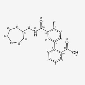 Cc1ccc(-c2ccccc2C(=O)O)cc1C(=O)NCC1CCCCCC1